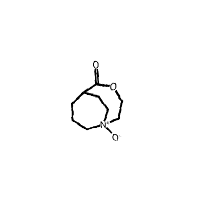 O=C1OCC[N+]2([O-])CCCC1CC2